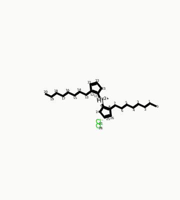 CCCCCCCCC1=[C]([Hf+2][C]2=C(CCCCCCCC)C=CC2)CC=C1.[Cl-].[Cl-]